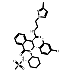 Cc1ccn(CCNC(=O)[C@@H]2c3ccccc3C(=O)N([C@H]3CCCC[C@@H]3NS(C)(=O)=O)[C@H]2c2ccc(Cl)cc2Cl)n1